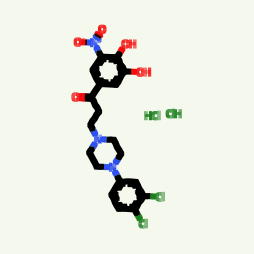 Cl.Cl.O=C(CCN1CCN(c2ccc(Cl)c(Cl)c2)CC1)c1cc(O)c(O)c([N+](=O)[O-])c1